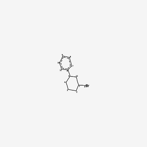 BrC1CCCC(c2[c]cccc2)C1